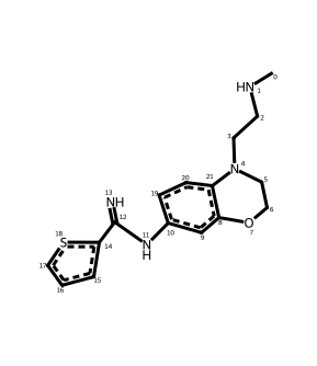 CNCCN1CCOc2cc(NC(=N)c3cccs3)ccc21